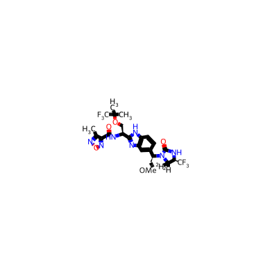 [2H]C1([2H])[C@@H](C(F)(F)F)NC(=O)N1[C@H](COC)c1ccc2[nH]c([C@H](COC(C)(C)C(F)(F)F)NC(=O)c3nonc3C)nc2c1